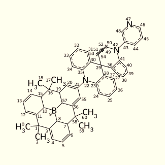 CC1(C)C2=CC=CC3C2B2C4C1=CC=CC4C(C)(C)C1C=C(N4c5ccccc5C5(c6ccccc64)c4ccccc4N(c4cccnc4)c4ccccc45)C=C(C21)C3(C)C